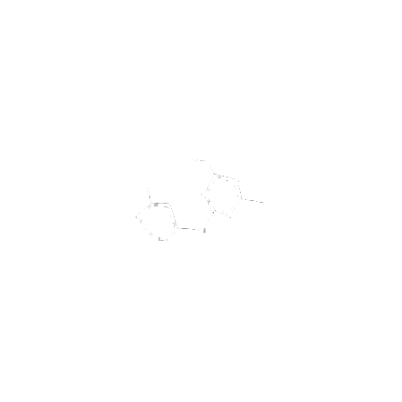 COc1nc(C)nc(Nc2cc(Cl)ccn2)n1